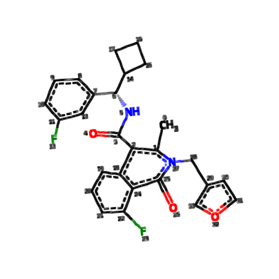 Cc1c(C(=O)N[C@H](c2cccc(F)c2)C2CCC2)c2cccc(F)c2c(=O)n1Cc1ccoc1